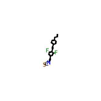 C=CCc1ccc(C#Cc2c(F)cc(C#CN=C=S)cc2F)cc1